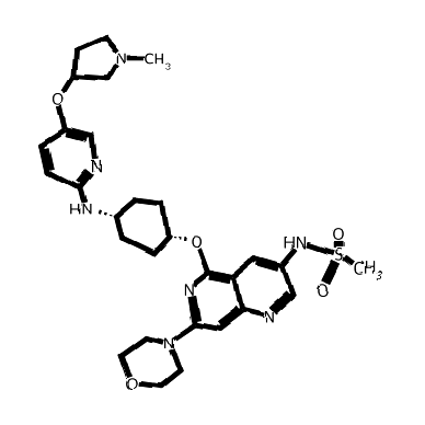 CN1CCC(Oc2ccc(N[C@H]3CC[C@@H](Oc4nc(N5CCOCC5)cc5ncc(NS(C)(=O)=O)cc45)CC3)nc2)C1